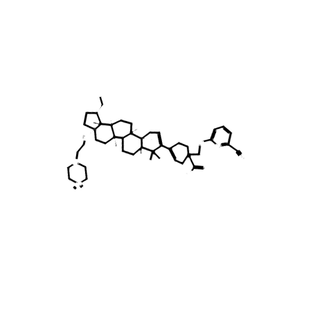 CC[C@@H]1CC[C@]2(NCCN3CCS(=O)(=O)CC3)CC[C@]3(C)[C@H](CC[C@@H]4[C@@]5(C)CC=C(C6=CCC(COc7cccc(C#N)n7)(C(=O)O)CC6)C(C)(C)[C@@H]5CC[C@]43C)[C@@H]12